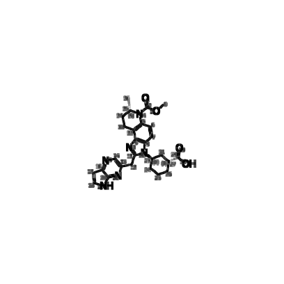 COC(=O)N1c2ccc3c(nc(Cc4cnc5cc[nH]c5n4)n3[C@@H]3CCC[C@@H](C(=O)O)C3)c2CC[C@@H]1C